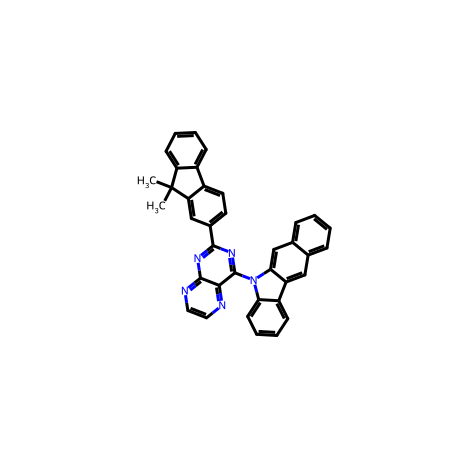 CC1(C)c2ccccc2-c2ccc(-c3nc(-n4c5ccccc5c5cc6ccccc6cc54)c4nccnc4n3)cc21